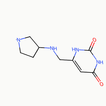 O=c1cc(CNC2CC[N]C2)[nH]c(=O)[nH]1